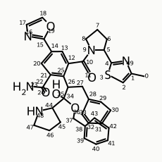 Cc1csc(C2CCCN2C(=O)c2cc(-c3ncco3)cc(C(N)=O)c2C(Cc2ccccc2)C(O)(OCc2ccccc2)C2CCCN2)n1